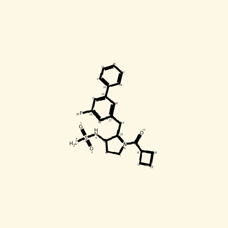 CS(=O)(=O)NC1CCN(C(=O)C2CCC2)C1Cc1cc(F)cc(-c2ccccc2)c1